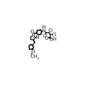 CCOc1cccc(C=C2CCn3c2nc2cc(NC(=O)/C(Cl)=C(/Cl)C(=O)O)ccc2c3=O)c1